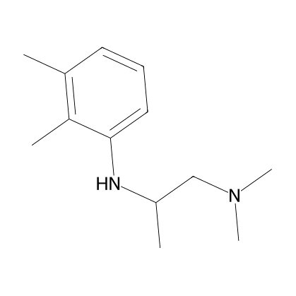 Cc1cccc(NC(C)CN(C)C)c1C